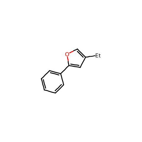 CCc1coc(-c2ccccc2)c1